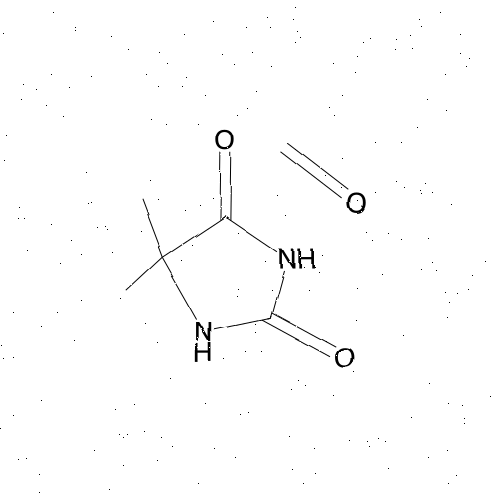 C=O.CC1(C)NC(=O)NC1=O